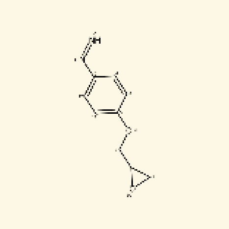 N=Nc1ccc(OCC2CO2)cc1